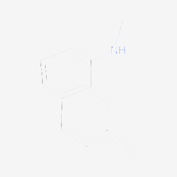 C=C/C=C\c1cccc(NC)c1C